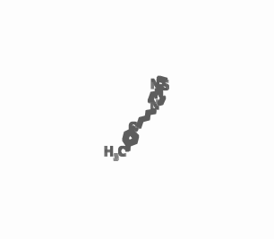 CCc1ccc(OCCCCCN2CCN(c3nccs3)CC2)cc1